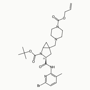 C=CCOC(=O)N1CCN(CC23CC2N(C(=O)OC(C)(C)C)[C@H](C(=O)Nc2nc(Br)ccc2C)C3)CC1